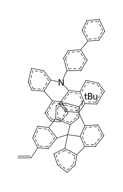 C=Cc1ccc2c(c1)C1(c3cc(C(C)(C)C)ccc3-2)c2ccccc2-c2cccc(-c3ccc(N(c4ccc(-c5ccccc5)cc4)c4ccccc4-c4ccccc4)c4ccccc34)c21